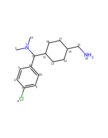 CN(C)C(c1ccc(Cl)cc1)C1CCC(CN)CC1